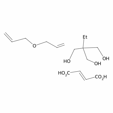 C=CCOCC=C.CCC(CO)(CO)CO.O=C(O)C=CC(=O)O